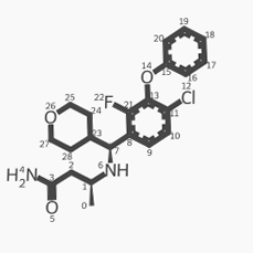 C[C@@H](CC(N)=O)N[C@H](c1ccc(Cl)c(Oc2ccccc2)c1F)C1CCOCC1